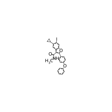 CNC(=O)c1c(-c2ccc(Oc3ccccc3)cc2)oc2cc(I)c(C3CC3)cc12